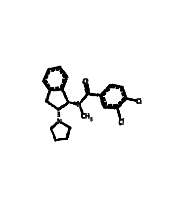 CN(C(=O)c1ccc(Cl)c(Cl)c1)[C@@H]1c2ccccc2C[C@H]1N1CCCC1